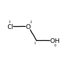 OCOCl